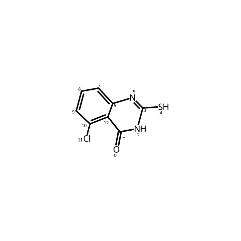 O=c1[nH]c(S)nc2cccc(Cl)c12